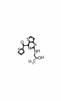 C[C@@H](O)CNc1nc(C(=O)c2cccs2)c2sccc2n1